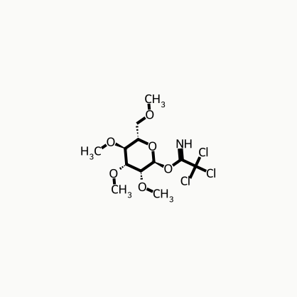 COC[C@@H]1O[C@@H](OC(=N)C(Cl)(Cl)Cl)[C@H](OC)[C@H](OC)[C@H]1OC